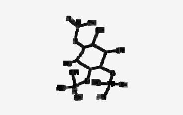 O=[PH](O)OC1C(O)C(O)C(O[PH](O)(O)O)C(O[PH](O)(O)O)C1O